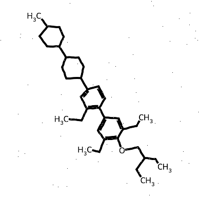 CCc1cc(C2CCC(C3CCC(C)CC3)CC2)ccc1-c1cc(CC)c(OCC(CC)CC)c(CC)c1